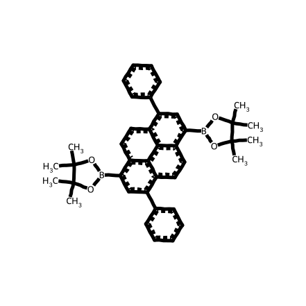 CC1(C)OB(c2cc(-c3ccccc3)c3ccc4c(B5OC(C)(C)C(C)(C)O5)cc(-c5ccccc5)c5ccc2c3c45)OC1(C)C